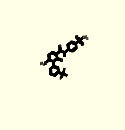 Cc1ccc(C(=O)Nc2ccc(S(C)(=O)=O)cc2)c(=O)n1-c1cccc(C(F)(F)F)c1